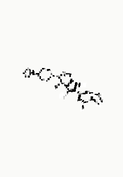 Cc1cc(-c2[nH]c3cnc(N4CCC(N5CCC5)CC4)c(F)c3c2C(C)C)cn2ncnc12